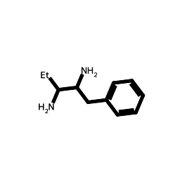 CCC(N)C(N)Cc1ccccc1